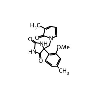 COc1cc(C)ccc1C1(Cn2cccc(C)c2=O)NC(=O)NC1=O